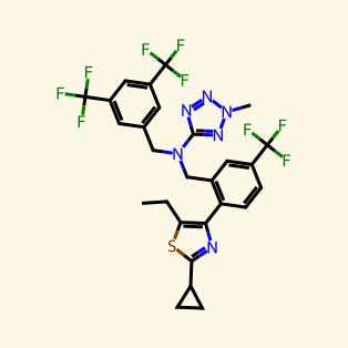 CCc1sc(C2CC2)nc1-c1ccc(C(F)(F)F)cc1CN(Cc1cc(C(F)(F)F)cc(C(F)(F)F)c1)c1nnn(C)n1